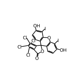 O=C1OC2(c3ccc(O)c(I)c3Oc3c2ccc(O)c3I)c2c(Cl)c(Cl)c(Cl)c(Cl)c21